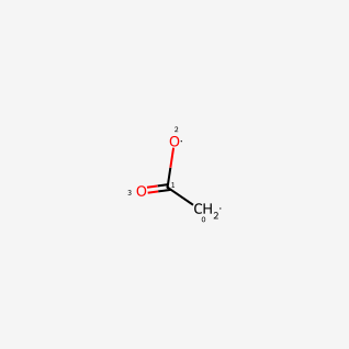 [CH2]C([O])=O